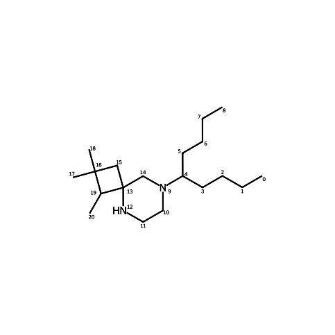 CCCCC(CCCC)N1CCNC2(C1)CC(C)(C)C2C